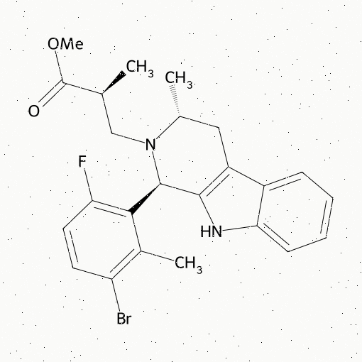 COC(=O)[C@@H](C)CN1[C@H](c2c(F)ccc(Br)c2C)c2[nH]c3ccccc3c2C[C@H]1C